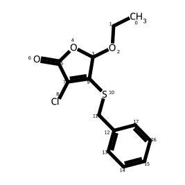 CCOC1OC(=O)C(Cl)=C1SCc1ccccc1